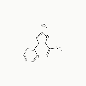 NC(=O)c1oc([N+](=O)[O-])cc1-c1ccccn1